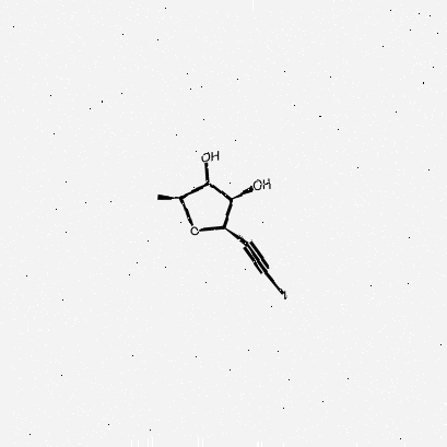 C[C@@H]1O[C@H](C#CI)[C@H](O)C1O